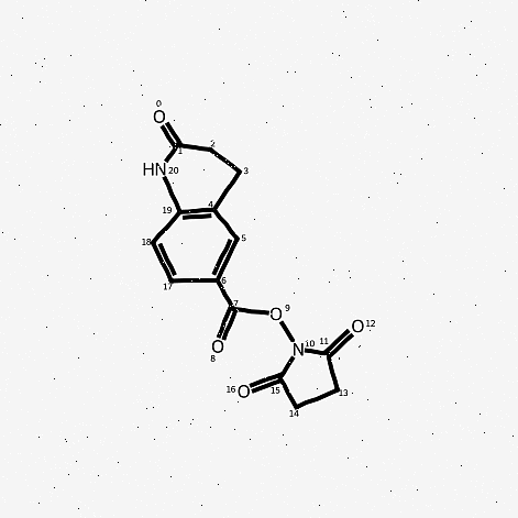 O=C1CCc2cc(C(=O)ON3C(=O)CCC3=O)ccc2N1